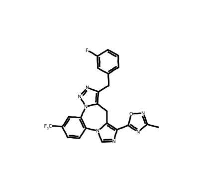 Cc1noc(-c2ncn3c2Cc2c(Cc4cccc(F)c4)nnn2-c2cc(C(F)(F)F)ccc2-3)n1